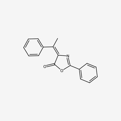 CC(=C1N=C(c2ccccc2)OC1=O)c1ccccc1